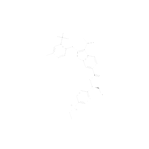 CCS(=O)(=O)c1ccc([C@H](CO)NC(=O)c2ccc3c(C(C)C)c(Cc4ccc(Cl)cc4C(F)(F)F)oc3c2)nc1